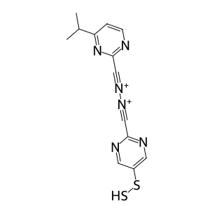 CC(C)c1ccnc(C#[N+][N+]#Cc2ncc(SS)cn2)n1